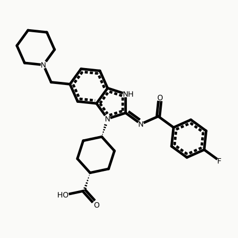 O=C(N=c1[nH]c2ccc(CN3CCCCC3)cc2n1[C@H]1CC[C@@H](C(=O)O)CC1)c1ccc(F)cc1